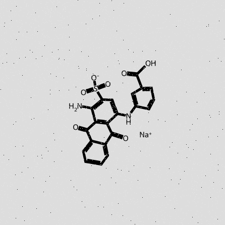 Nc1c(S(=O)(=O)[O-])cc(Nc2cccc(C(=O)O)c2)c2c1C(=O)c1ccccc1C2=O.[Na+]